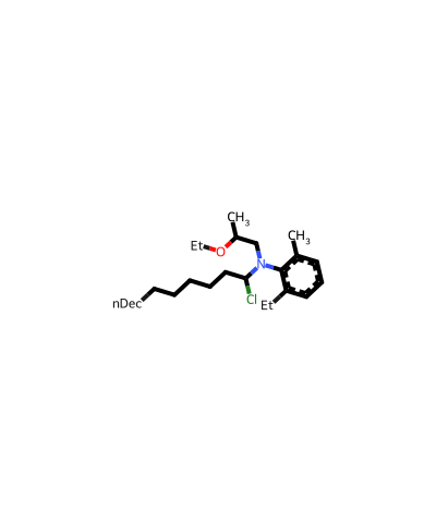 CCCCCCCCCCCCCCCC(Cl)N(CC(C)OCC)c1c(C)cccc1CC